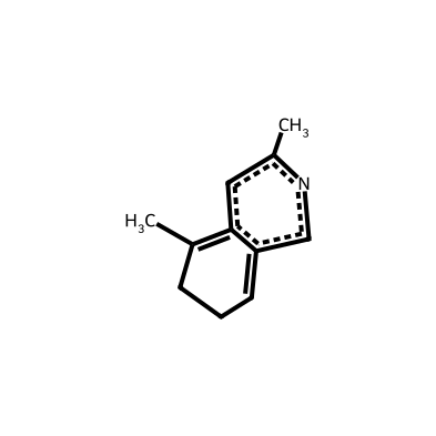 CC1=c2cc(C)ncc2=CCC1